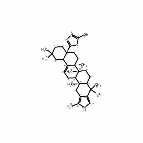 CC1(C)CC[C@]2(c3nnc(O)s3)CC[C@]3(C)C(=CCC4[C@@]5(C)Cc6c(n[nH]c6N)C(C)(C)C5CC[C@]43C)C2C1